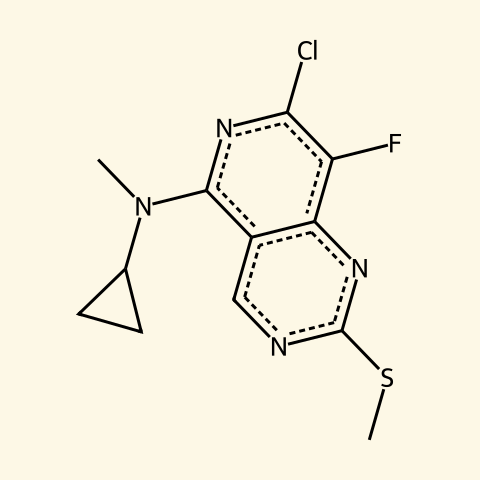 CSc1ncc2c(N(C)C3CC3)nc(Cl)c(F)c2n1